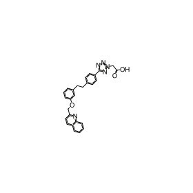 O=C(O)Cn1nnc(-c2ccc(CCc3cccc(OCc4ccc5ccccc5n4)c3)cc2)n1